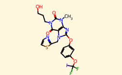 Cn1c(=O)n(CCCO)c(=O)c2c1nc(Oc1cccc(OC(F)(F)I)c1)n2Cc1nccs1